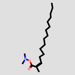 CCCCCCCCCCCCCC=C(C)C(=O)ON(C)C